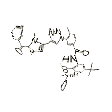 COc1c(NC(=O)c2ccc(C)c(-n3cc(-c4cnc(C(=O)c5ccccc5)n4C)nn3)c2)cc(C(C)(C)C)cc1NS(C)(=O)=O